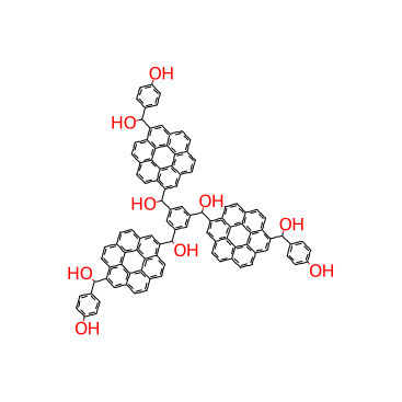 Oc1ccc(C(O)c2cc3ccc4ccc5c(C(O)c6cc(C(O)c7cc8ccc9ccc%10cc(C(O)c%11ccc(O)cc%11)c%11ccc%12ccc7c7c8c9c%10c%11c%127)cc(C(O)c7cc8ccc9ccc%10cc(C(O)c%11ccc(O)cc%11)c%11ccc%12ccc7c7c8c9c%10c%11c%127)c6)cc6ccc7ccc2c2c7c6c5c4c32)cc1